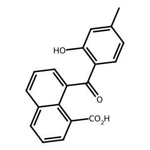 Cc1ccc(C(=O)c2cccc3cccc(C(=O)O)c23)c(O)c1